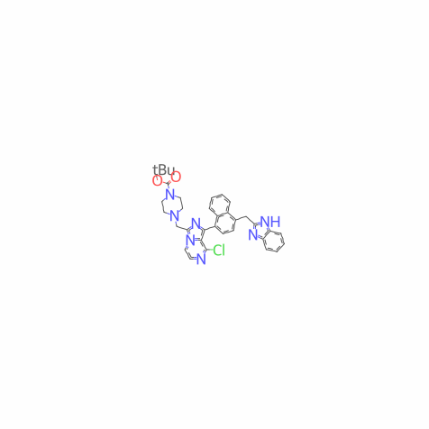 CC(C)(C)OC(=O)N1CCN(Cc2nc(-c3ccc(Cc4nc5ccccc5[nH]4)c4ccccc34)c3c(Cl)nccn23)CC1